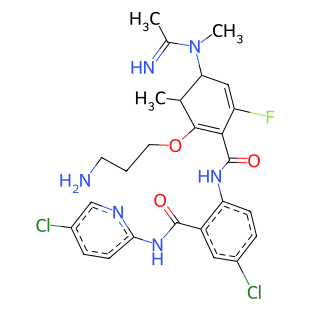 CC(=N)N(C)C1C=C(F)C(C(=O)Nc2ccc(Cl)cc2C(=O)Nc2ccc(Cl)cn2)=C(OCCCN)C1C